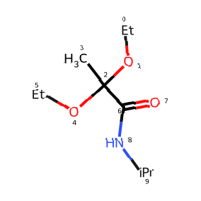 CCOC(C)(OCC)C(=O)NC(C)C